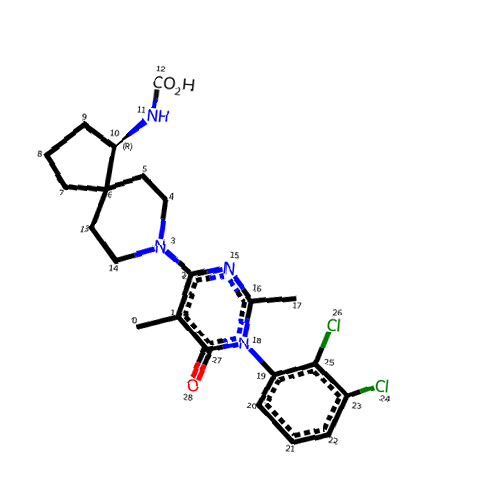 Cc1c(N2CCC3(CCC[C@H]3NC(=O)O)CC2)nc(C)n(-c2cccc(Cl)c2Cl)c1=O